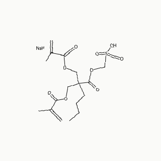 C=C(C)C(=O)OCC(CCCC)(COC(=O)C(=C)C)C(=O)OCS(=O)(=O)O.[NaH]